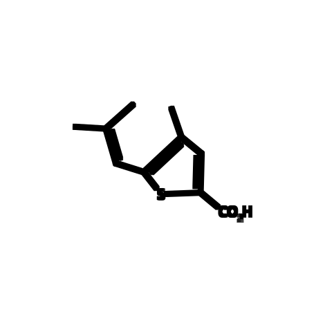 CC(C)=Cc1sc(C(=O)O)cc1C